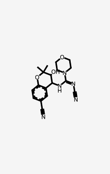 CC1(C)Oc2ccc(C#N)cc2C(N/C(=N\C#N)N2CCOCC2)C1O